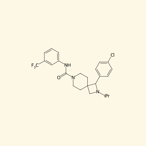 CC(C)N1CC2(CCN(C(=O)Nc3cccc(C(F)(F)F)c3)CC2)C1c1ccc(Cl)cc1